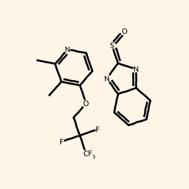 Cc1nccc(OCC(F)(F)C(F)(F)F)c1C.O=S=C1N=c2ccccc2=N1